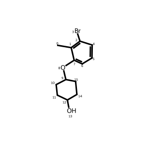 Cc1c(Br)cccc1OC1CCC(O)CC1